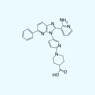 Nc1ncccc1-c1nc2ccc(-c3ccccc3)nc2n1-c1ccc(N2CCC(C(=O)O)CC2)nc1